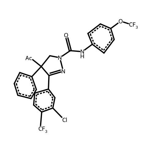 CC(=O)C1(c2ccccc2)CN(C(=O)Nc2ccc(OC(F)(F)F)cc2)N=C1c1ccc(C(F)(F)F)c(Cl)c1